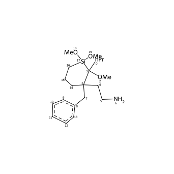 CCCC1(OC)C(CCN)(Cc2ccccc2)CCC[Si]1(OC)OC